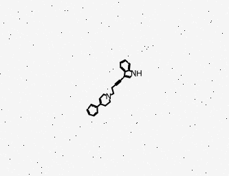 C(#Cc1c[nH]c2ccccc12)CCN1CC=C(c2ccccc2)CC1